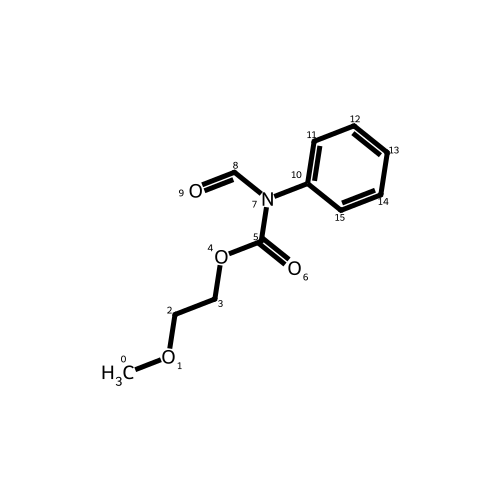 COCCOC(=O)N(C=O)c1ccccc1